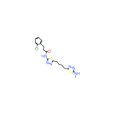 CNc1nnc(CCCCc2nnc(NC(=O)CCc3ccccc3Cl)s2)s1